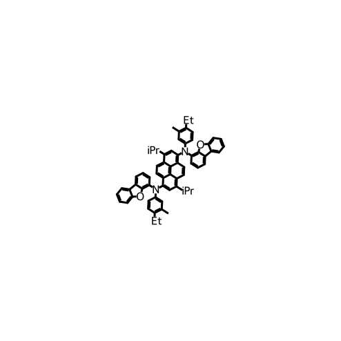 CCc1ccc(N(c2cc(C(C)C)c3ccc4c(N(c5ccc(CC)c(C)c5)c5cccc6c5oc5ccccc56)cc(C(C)C)c5ccc2c3c54)c2cccc3c2oc2ccccc23)cc1C